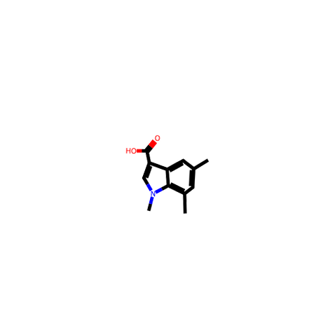 Cc1cc(C)c2c(c1)c(C(=O)O)cn2C